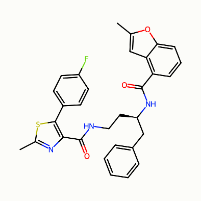 Cc1cc2c(C(=O)N[C@H](CCNC(=O)c3nc(C)sc3-c3ccc(F)cc3)Cc3ccccc3)cccc2o1